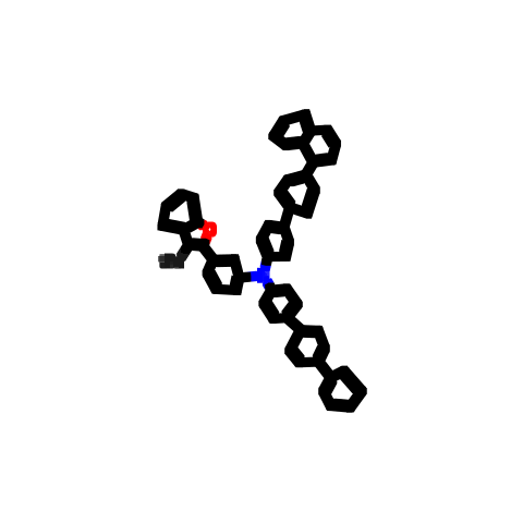 CC(C)(C)c1c(-c2cccc(N(c3ccc(-c4ccc(-c5ccccc5)cc4)cc3)c3ccc(-c4ccc(-c5cccc6ccccc56)cc4)cc3)c2)oc2ccccc12